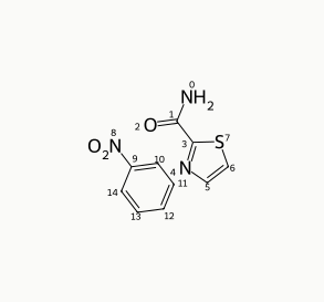 NC(=O)c1nccs1.O=[N+]([O-])c1ccccc1